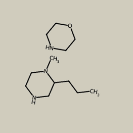 C1COCCN1.CCCC1CNCCN1C